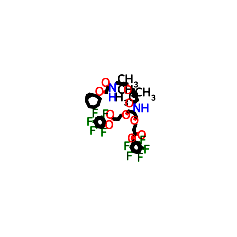 CC(C)(CNC(=O)COC1C#CCCCCC1)COCC(C)(C)CC(=O)NC(COCCC(=O)Oc1c(F)c(F)c(F)c(F)c1F)COCCC(=O)Oc1c(F)c(F)c(F)c(F)c1F